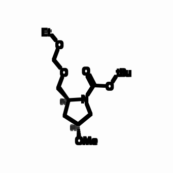 CCOCOC[C@@H]1C[C@@H](OC)CN1C(=O)OC(C)(C)C